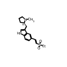 CCS(=O)(=O)C=Cc1ccc2[nH]cc(C[C@H]3CCCN3C)c2c1